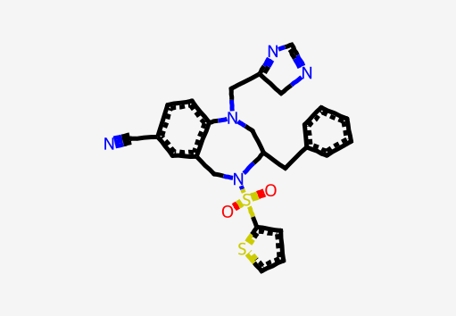 N#Cc1ccc2c(c1)CN(S(=O)(=O)c1cccs1)C(Cc1ccccc1)CN2CC1=NC=NC1